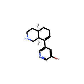 Brc1cncc(C2=CCC[C@@H]3CCNC[C@H]23)c1